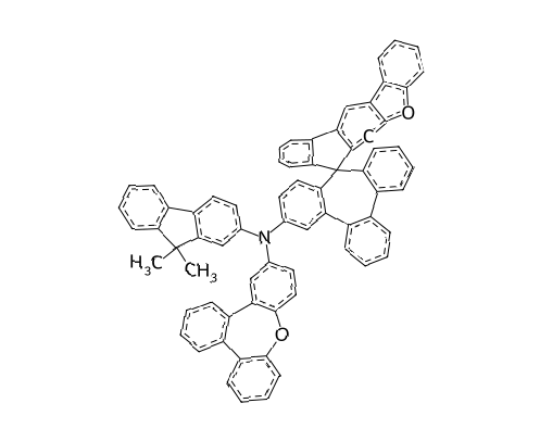 CC1(C)c2ccccc2-c2ccc(N(c3ccc4c(c3)-c3ccccc3-c3ccccc3O4)c3ccc4c(c3)-c3ccccc3-c3ccccc3C43c4ccccc4-c4cc5c(cc43)oc3ccccc35)cc21